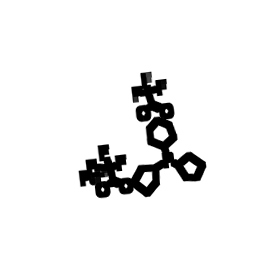 C1CCC(P(C2CCCC2)C2CCCC2)CC1.O=C([O-])C(F)(F)F.O=C([O-])C(F)(F)F.[Pd+2]